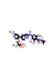 Cc1cc(-c2ccn3nc(Nc4cc(C)c(C(=O)NC5CC5)c(C)n4)cc3c2)c(OCC(C)(C)O)cn1